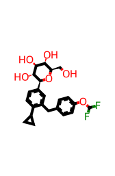 OC[C@H]1O[C@@H](c2ccc(C3CC3)c(Cc3ccc(OC(F)F)cc3)c2)[C@H](O)[C@@H](O)[C@@H]1O